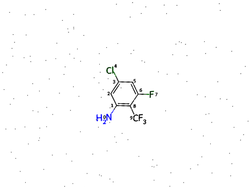 Nc1cc(Cl)cc(F)c1C(F)(F)F